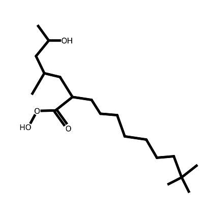 CC(O)CC(C)CC(CCCCCCCC(C)(C)C)C(=O)OO